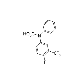 O=C(O)N(c1ccccc1)c1ccc(F)c(C(F)(F)F)c1